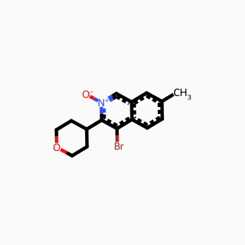 Cc1ccc2c(Br)c(C3CCOCC3)[n+]([O-])cc2c1